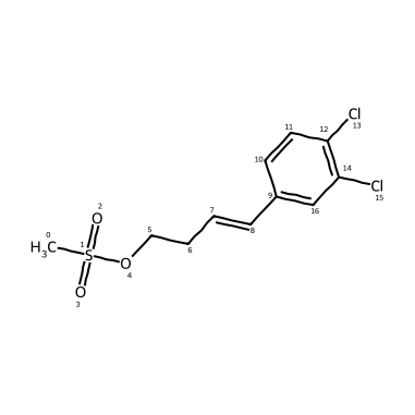 CS(=O)(=O)OCCC=Cc1ccc(Cl)c(Cl)c1